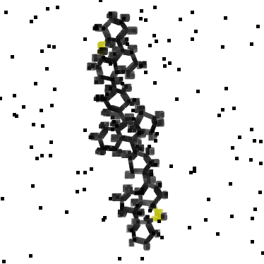 c1ccc2c(c1)Sc1ccc(-c3ccc(-c4c5ccccc5c(-c5ccc(-c6ccc7c8c(cccc68)-c6ccccc6S7)cc5)c5ccccc45)cc3)c3cccc-2c13